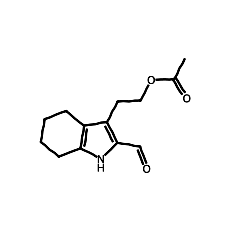 CC(=O)OCCc1c(C=O)[nH]c2c1CCCC2